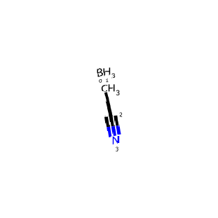 B.CC#N